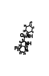 CC1CCC(NC(=O)c2cc3c(F)ccnc3[nH]2)CC1